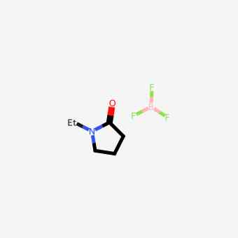 CCN1CCCC1=O.FB(F)F